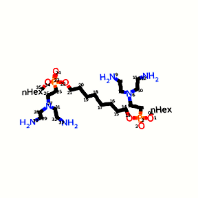 CCCCCCOP(=O)(CCN(CCN)CCN)OCCCCCCCCOP(=O)(CCN(CCN)CCN)OCCCCCC